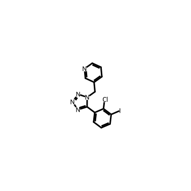 Clc1c(I)cccc1-c1nnnn1Cc1cccnc1